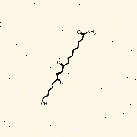 CCCCCCC(=O)C=CC(=O)CCCCCCCC(N)=O